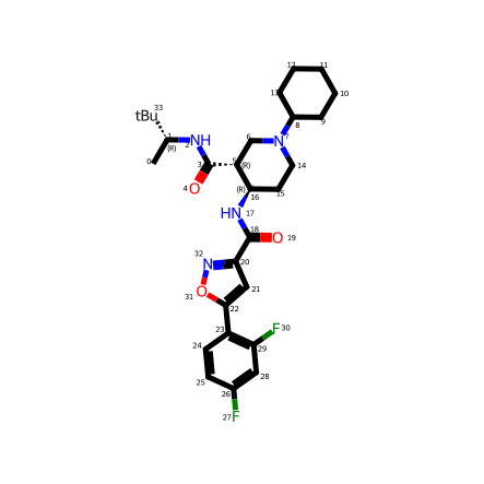 C[C@@H](NC(=O)[C@@H]1CN(C2CCCCC2)CC[C@H]1NC(=O)c1cc(-c2ccc(F)cc2F)on1)C(C)(C)C